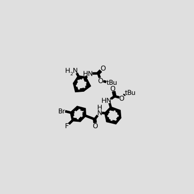 CC(C)(C)OC(=O)Nc1ccccc1N.CC(C)(C)OC(=O)Nc1ccccc1NC(=O)c1ccc(Br)c(F)c1